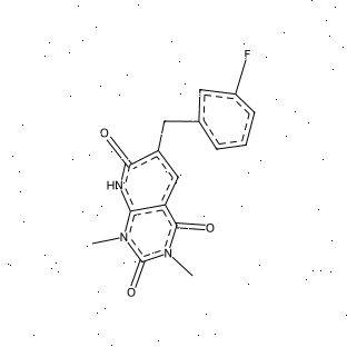 Cn1c(=O)c2cc(Cc3cccc(F)c3)c(=O)[nH]c2n(C)c1=O